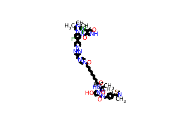 Cc1ncsc1-c1ccc(CNC(=O)[C@@H]2C[C@@H](O)CN2C(=O)C(NC(=O)CCCCCCCCCC(=O)N2CCN(Cc3cnc(N4CC=C(c5cc(NC(=O)c6c[nH]c(=O)cc6C(F)(F)F)c(N6C[C@@H](C)N(C)[C@@H](C)C6)cc5F)CC4)nc3)CC2)C(C)(C)C)cc1